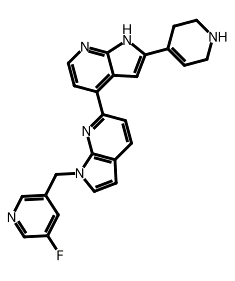 Fc1cncc(Cn2ccc3ccc(-c4ccnc5[nH]c(C6=CCNCC6)cc45)nc32)c1